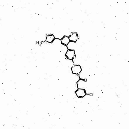 Cn1cc(-c2cc(-c3ccc(N4CCN(C(=O)Cc5cccc(Cl)c5)CC4)nc3)c3cncnc3c2)cn1